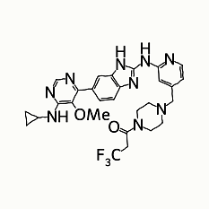 COc1c(NC2CC2)ncnc1-c1ccc2nc(Nc3cc(CN4CCN(C(=O)CC(F)(F)F)CC4)ccn3)[nH]c2c1